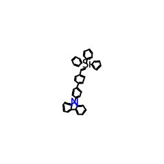 C(=C\[Si](c1ccccc1)(c1ccccc1)c1ccccc1)/c1ccc(-c2ccc(-n3c4ccccc4c4ccccc43)cc2)cc1